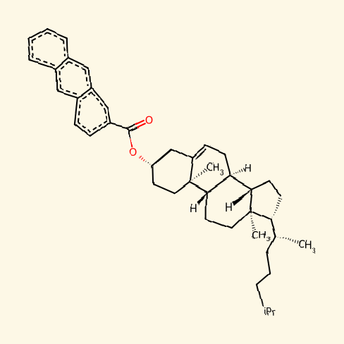 CC(C)CCC[C@@H](C)[C@H]1CC[C@H]2[C@@H]3CC=C4C[C@@H](OC(=O)c5ccc6cc7ccccc7cc6c5)CC[C@]4(C)[C@H]3CC[C@]12C